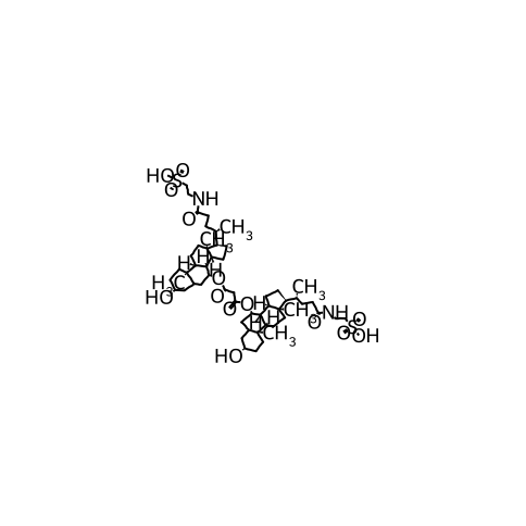 C[C@H](CCC(=O)NCCS(=O)(=O)O)[C@H]1CC[C@@H]2[C@@H]3[C@@H](CC[C@]21C)[C@]1(C)CC[C@H](O)CC1C[C@H]3OC(=O)CC(=O)O[C@@H]1CC2C[C@@H](O)CC[C@@]2(C)[C@@H]2CC[C@]3(C)[C@H](CC[C@H]3[C@H](C)CCC(=O)NCCS(=O)(=O)O)[C@H]21